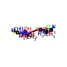 Cc1ncsc1-c1ccc([C@@H](C)NC(=O)[C@@H]2C[C@@H](O)CN2C(=O)[C@@H](NC(=O)COCCCCOc2ccc(C(=O)NC3C(C)(C)C(Oc4ccc(C#N)c(Cl)c4)C3(C)C)cc2)C(C)(C)C)cc1